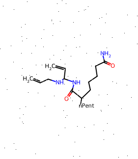 C=CCNC(C=C)NC(=O)[C](CCCCC)CCCCC(N)=O